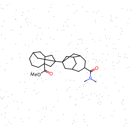 COC(=O)C12CCCC3CC1CC(C14CC5CC(C(=O)N(C)C)CC(C1)C(C5)C4)(C3)C2